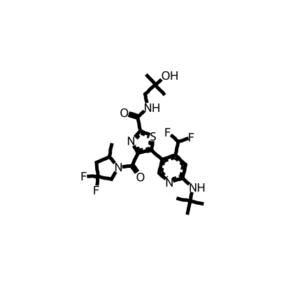 CC1CC(F)(F)CN1C(=O)c1nc(C(=O)NCC(C)(C)O)sc1-c1cnc(NC(C)(C)C)cc1C(F)F